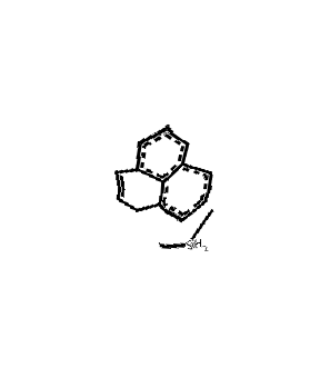 C1=Cc2cccc3cccc(c23)C1.C[SiH2]C